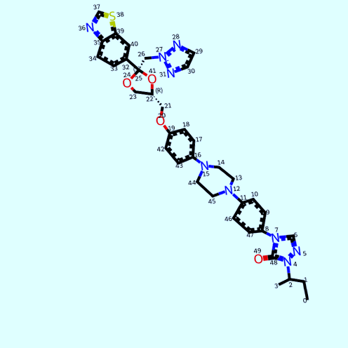 CCC(C)n1ncn(-c2ccc(N3CCN(c4ccc(OC[C@@H]5CO[C@@](Cn6nccn6)(c6ccc7ncsc7c6)O5)cc4)CC3)cc2)c1=O